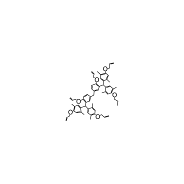 C=CCOc1cc(C)c(C(c2cc(C)c(OCC=C)cc2C)c2cc(Cc3ccc(OCC=C)c(C(c4cc(C)c(OCC=C)cc4C)c4cc(C)c(OCCC)cc4C)c3)ccc2OCC=C)cc1C